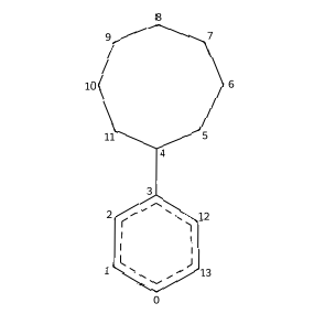 c1ccc(C2CCCCCCC2)cc1